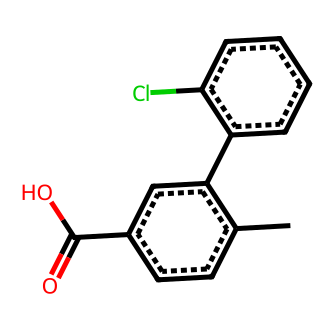 Cc1ccc(C(=O)O)cc1-c1ccccc1Cl